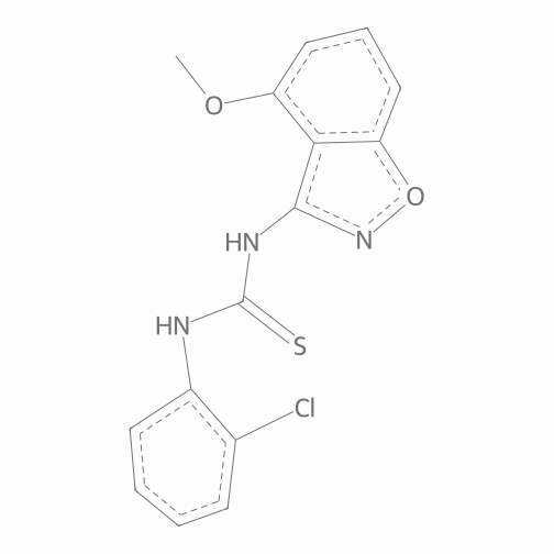 COc1cccc2onc(NC(=S)Nc3ccccc3Cl)c12